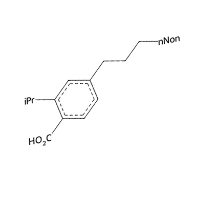 CCCCCCCCCCCCc1ccc(C(=O)O)c(C(C)C)c1